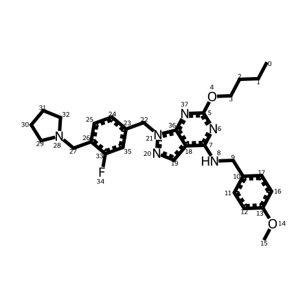 CCCCOc1nc(NCc2ccc(OC)cc2)c2cnn(Cc3ccc(CN4CCCC4)c(F)c3)c2n1